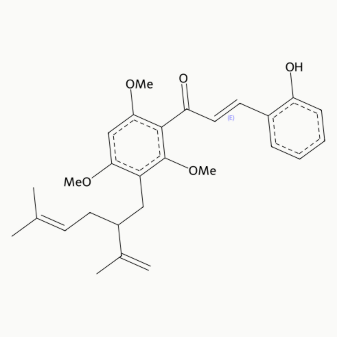 C=C(C)C(CC=C(C)C)Cc1c(OC)cc(OC)c(C(=O)/C=C/c2ccccc2O)c1OC